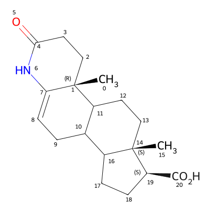 C[C@]12CCC(=O)NC1=CCC1C2CC[C@@]2(C)C1CC[C@@H]2C(=O)O